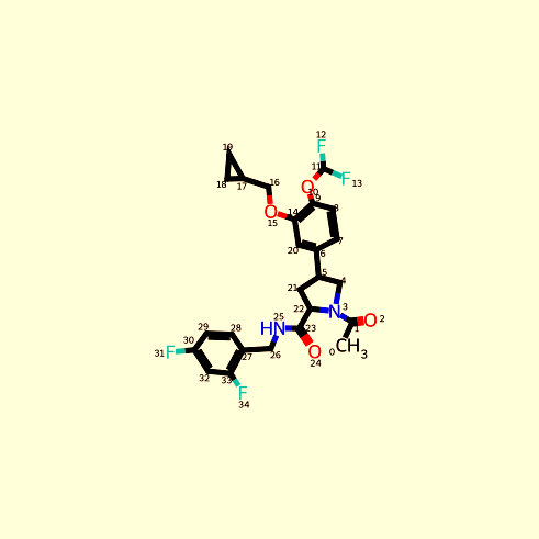 CC(=O)N1CC(c2ccc(OC(F)F)c(OCC3CC3)c2)CC1C(=O)NCc1ccc(F)cc1F